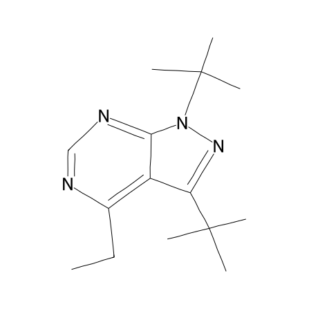 CCc1ncnc2c1c(C(C)(C)C)nn2C(C)(C)C